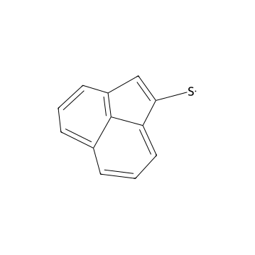 [S]C1=Cc2cccc3cccc1c23